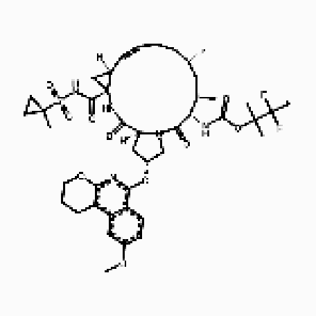 COc1ccc2c(O[C@@H]3C[C@H]4C(=O)N[C@]5(C(=O)NS(=O)(=O)C6(C)CC6)C[C@H]5/C=C\CC[C@H](C)C[C@@H](C)[C@H](NC(=O)OC(C)(C)C(F)(F)F)C(=O)N4C3)nc3c(c2c1)CCCO3